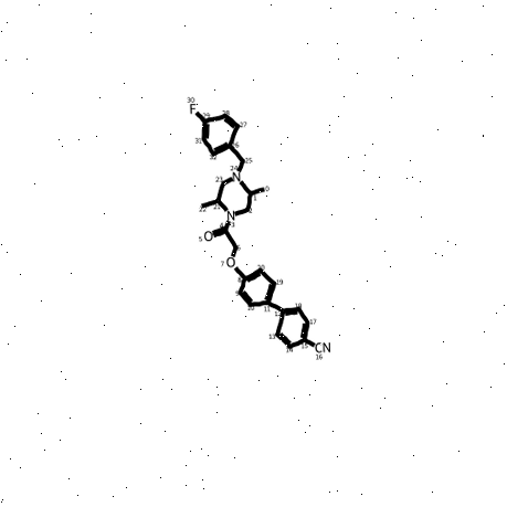 CC1CN(C(=O)COc2ccc(-c3ccc(C#N)cc3)cc2)C(C)CN1Cc1ccc(F)cc1